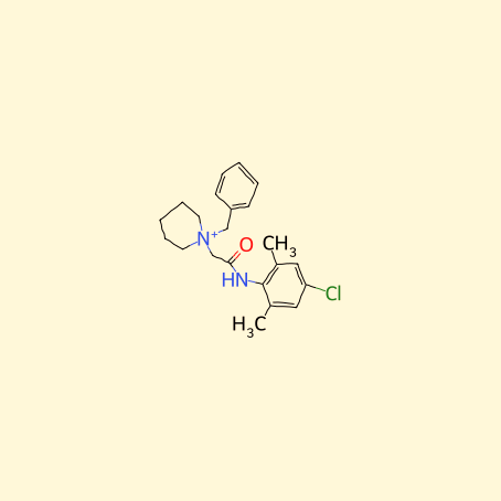 Cc1cc(Cl)cc(C)c1NC(=O)C[N+]1(Cc2ccccc2)CCCCC1